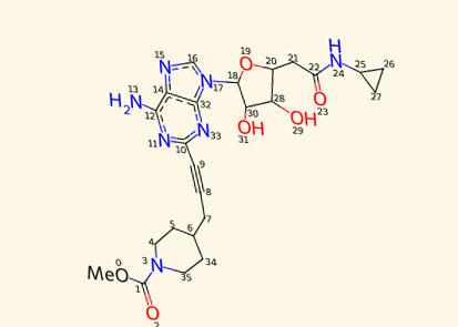 COC(=O)N1CCC(CC#Cc2nc(N)c3ncn(C4OC(CC(=O)NC5CC5)C(O)C4O)c3n2)CC1